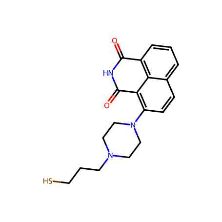 O=C1NC(=O)c2c(N3CCN(CCCS)CC3)ccc3cccc1c23